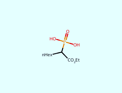 CCCCCCC(C(=O)OCC)P(=O)(O)O